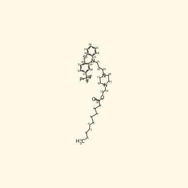 CCCCCCCCCCC(=O)OCCN1CCN(CCCN2c3ccccc3Sc3ccc(C(F)(F)F)cc32)CC1